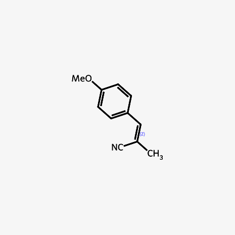 COc1ccc(/C=C(/C)C#N)cc1